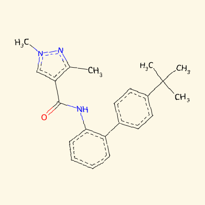 Cc1nn(C)cc1C(=O)Nc1ccccc1-c1ccc(C(C)(C)C)cc1